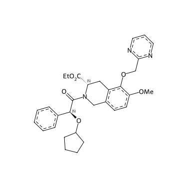 CCOC(=O)[C@@H]1Cc2c(ccc(OC)c2OCc2ncccn2)CN1C(=O)[C@@H](OC1CCCC1)c1ccccc1